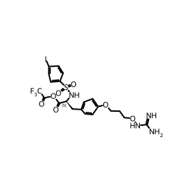 N=C(N)NOCCCOc1ccc(C[C@H](NS(=O)(=O)c2ccc(I)cc2)C(=O)OC(=O)C(F)(F)F)cc1